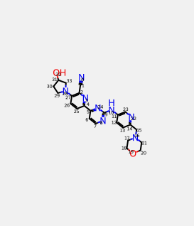 N#Cc1nc(-c2ccnc(Nc3ccc(CN4CCOCC4)nc3)n2)ccc1N1CCC(O)C1